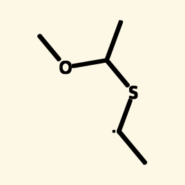 C[CH]SC(C)OC